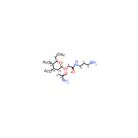 CC(=O)OC[C@H]1O[C@@H](OCC(=O)NCCCN)[C@H](CC(N)=O)[C@@H](OC(C)=O)[C@H]1OC(C)=O